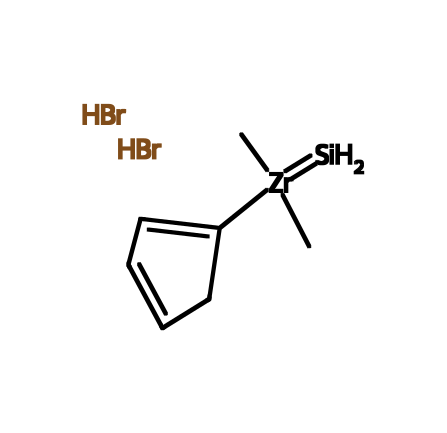 Br.Br.[CH3][Zr]([CH3])(=[SiH2])[C]1=CC=CC1